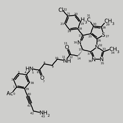 CC(=O)c1ccc(NC(=O)CCCNC(=O)C[C@@H]2N=C(c3ccc(Cl)cc3)c3c(sc(C)c3C)-n3c(C)nnc32)cc1C#CCN